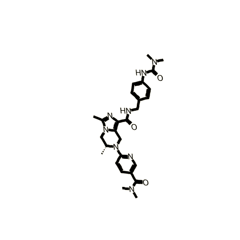 Cc1nc(C(=O)NCc2ccc(NC(=O)N(C)C)cc2)c2n1C[C@@H](C)N(c1ccc(C(=O)N(C)C)cn1)C2